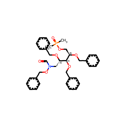 CP(C)(=O)OC[C@@H](OCc1ccccc1)[C@@H](OCc1ccccc1)[C@H](CN(C=O)OCc1ccccc1)OCc1ccccc1